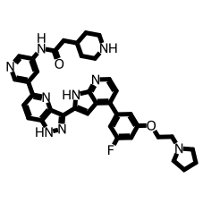 O=C(CC1CCNCC1)Nc1cncc(-c2ccc3[nH]nc(-c4cc5c(-c6cc(F)cc(OCCN7CCCC7)c6)ccnc5[nH]4)c3n2)c1